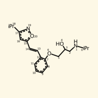 CC(C)NCC(O)COc1ccccc1C=Cc1cc(C(C)C)no1